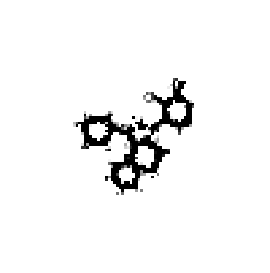 Clc1c(Br)cccc1-n1nc(-c2ccccc2)c2c3ccccc3ccc21